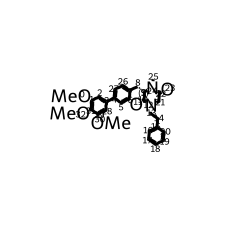 COc1cc(-c2ccc(C[C@H]3C(=O)N(CCc4ccccc4)CC(=O)N3C)cc2)cc(OC)c1OC